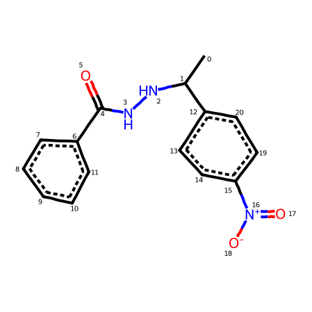 CC(NNC(=O)c1ccccc1)c1ccc([N+](=O)[O-])cc1